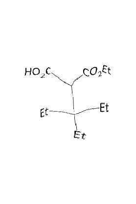 CCOC(=O)C(C(=O)O)C(CC)(CC)CC